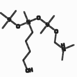 C[SiH](C)CO[Si](C)(C)O[Si](C)(CCCCO)O[Si](C)(C)C